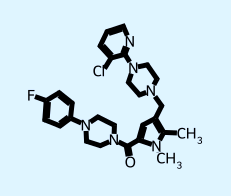 Cc1c(CN2CCN(c3ncccc3Cl)CC2)cc(C(=O)N2CCN(c3ccc(F)cc3)CC2)n1C